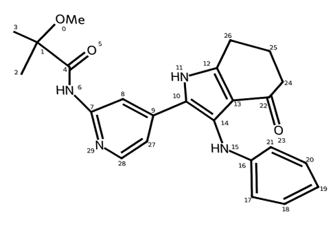 COC(C)(C)C(=O)Nc1cc(-c2[nH]c3c(c2Nc2ccccc2)C(=O)CCC3)ccn1